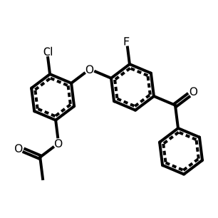 CC(=O)Oc1ccc(Cl)c(Oc2ccc(C(=O)c3ccccc3)cc2F)c1